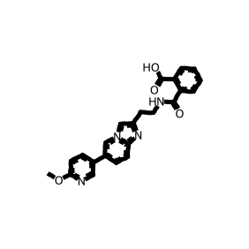 COc1ccc(-c2ccc3nc(CCNC(=O)c4ccccc4C(=O)O)cn3c2)cn1